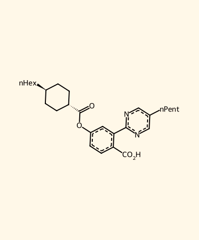 CCCCCC[C@H]1CC[C@H](C(=O)Oc2ccc(C(=O)O)c(-c3ncc(CCCCC)cn3)c2)CC1